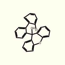 OC1(c2ccccc2-c2ccccc2Cl)c2ccccc2Oc2ccccc21